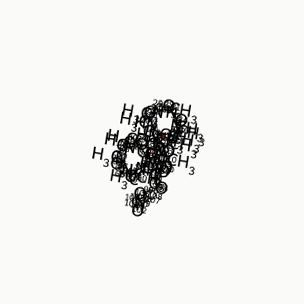 Cc1c2oc3c(C)ccc(C(=O)NC4C(=O)NC(C(C)C)C(=O)N5CCCC5C(=O)N(C)CC(=O)N(C)C(C(C)C)C(=O)OC4C)c3nc-2c(C(=O)NC2C(=O)NC(C(C)C)C(=O)N3CCCC3C(=O)N(C)CC(=O)N(C)C(C(C)C)C(=O)OC2C)c(NC(=O)OCOC(=O)C2CCC(CN3C(=O)C=CC3=O)CC2)c1=O